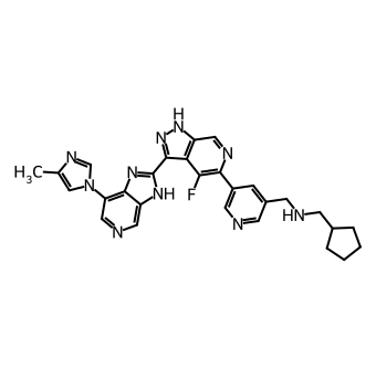 Cc1cn(-c2cncc3[nH]c(-c4n[nH]c5cnc(-c6cncc(CNCC7CCCC7)c6)c(F)c45)nc23)cn1